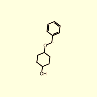 OC1CCC(O[CH]c2ccccc2)CC1